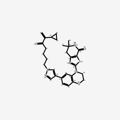 C=C(C(=O)CCCCn1cc(-c2ccc3c(c2)N(c2nc4c(s2)C(=O)NC(C)(C)C4)CCO3)cn1)C1CC1